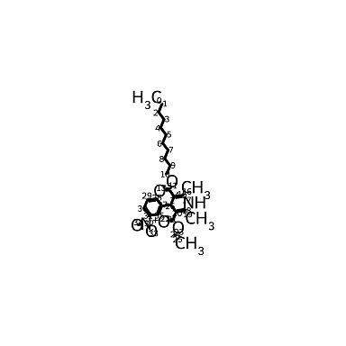 CCCCCCCCCCCOC(=O)C1=C(C)NC(C)=C(C(=O)OCC)C1c1cccc([N+](=O)[O-])c1